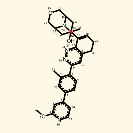 COc1cc(-c2ccc(-c3cc4c(nn3)C(C3CC5COCC(C3)N5B(C)O)=CCC4)c(C)c2)ccn1